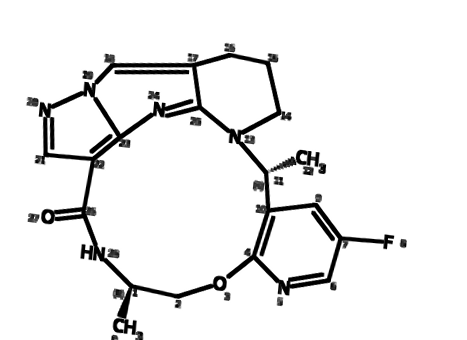 C[C@@H]1COc2ncc(F)cc2[C@@H](C)N2CCCc3cn4ncc(c4nc32)C(=O)N1